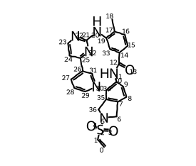 C=CS(=O)(=O)N1Cc2ccc(NC(=O)c3ccc(C)c(Nc4nccc(-c5cccnc5)n4)c3)cc2C1